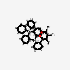 Fc1c(F)c(F)c(-c2ccccc2N2c3ccccc3[Si](c3ccccc3)(c3ccccc3)c3ccccc32)c(F)c1F